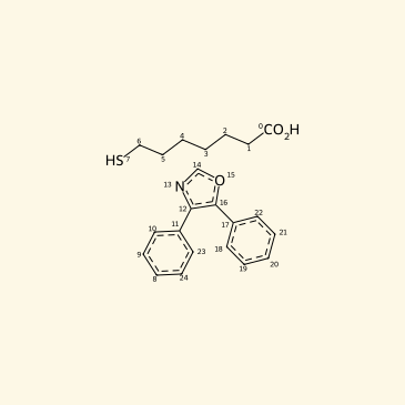 O=C(O)CCCCCCS.c1ccc(-c2ncoc2-c2ccccc2)cc1